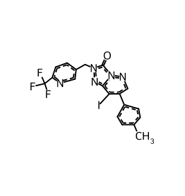 Cc1ccc(-c2cnn3c(=O)n(Cc4ccc(C(F)(F)F)nc4)nc3c2I)cc1